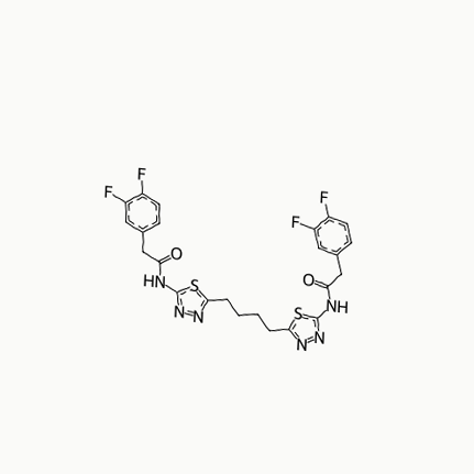 O=C(Cc1ccc(F)c(F)c1)Nc1nnc(CCCCc2nnc(NC(=O)Cc3ccc(F)c(F)c3)s2)s1